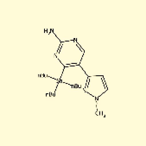 CCC[CH2][Sn]([CH2]CCC)([CH2]CCC)[c]1nc(N)ncc1-c1ccn(C)n1